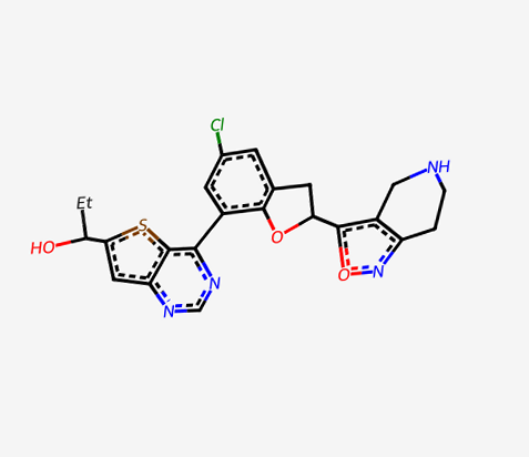 CCC(O)c1cc2ncnc(-c3cc(Cl)cc4c3OC(c3onc5c3CNCC5)C4)c2s1